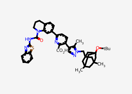 Cc1c(-c2ccc(-c3ccc4c(c3)N(C(=O)Nc3nc5ccccc5s3)CCC4)nc2C(=O)O)cnn1CC12CC3(C)CC(C)(C1)CC(OC(C)(C)C)(C3)C2